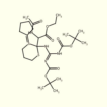 CCOC(=O)C(NC(C)=O)C1(NC(=NC(=O)OC(C)(C)C)NC(=O)OC(C)(C)C)SCCCS1=C1CCCC1